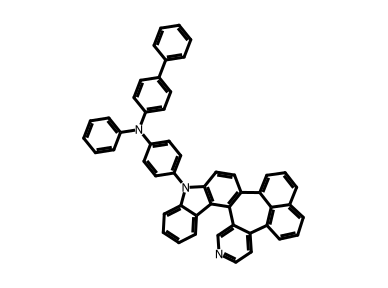 c1ccc(-c2ccc(N(c3ccccc3)c3ccc(-n4c5ccccc5c5c6c(ccc54)-c4cccc5cccc(c45)-c4ccncc4-6)cc3)cc2)cc1